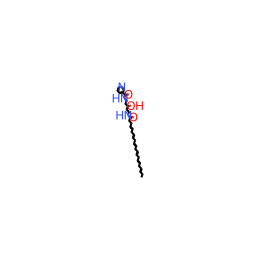 CCC=CCC=CCC=CCC=CCC=CCC=CCCC(=O)NCCC(O)CCNC(=O)c1cccnc1